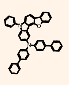 C1=CC(c2ccc(N(c3ccc(-c4ccccc4)cc3)c3ccc4c(c3)c3c5oc6ccccc6c5ccc3n4-c3ccccc3)cc2)=CCC1